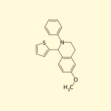 COc1ccc2c(c1)CCN(c1ccccc1)C2c1cccs1